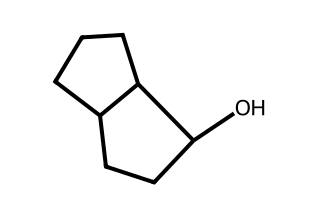 OC1CCC2CCCC12